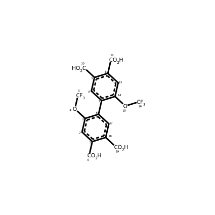 O=C(O)c1cc(OC(F)(F)F)c(-c2cc(C(=O)O)c(C(=O)O)cc2OC(F)(F)F)cc1C(=O)O